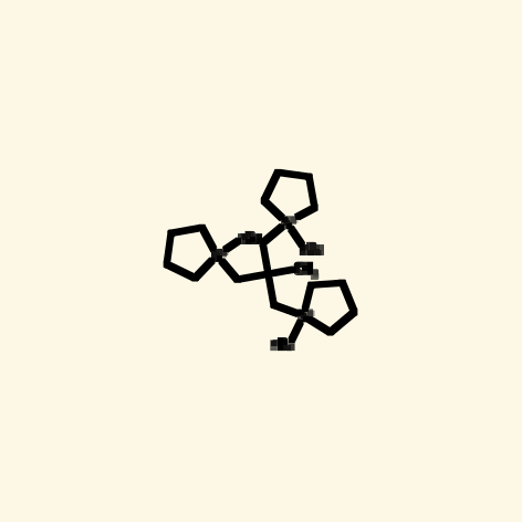 CCCC[N+]1(CC(C)(C[N+]2(CCCC)CCCC2)C[N+]2(CCCC)CCCC2)CCCC1